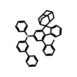 Cc1ccccc1-c1cc(N(c2ccccc2)c2cccc(-c3ccccc3)c2)cc2c1-c1ccccc1C21C2CC3CC(C2)CC1C3